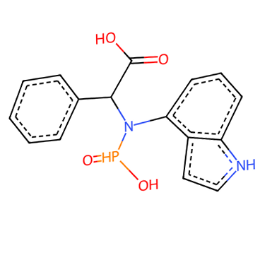 O=C(O)C(c1ccccc1)N(c1cccc2[nH]ccc12)[PH](=O)O